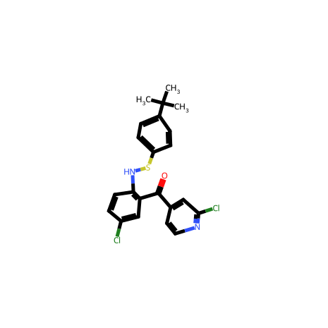 CC(C)(C)c1ccc(SNc2ccc(Cl)cc2C(=O)c2ccnc(Cl)c2)cc1